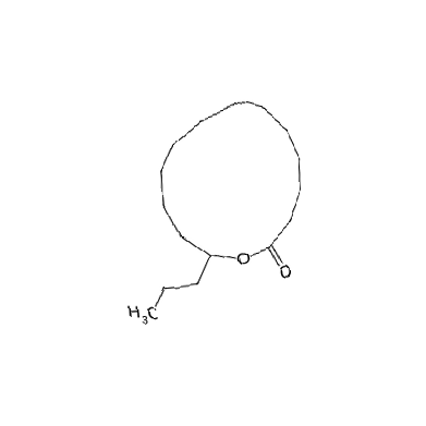 CCCC1CCCCCCCCCCCC(=O)O1